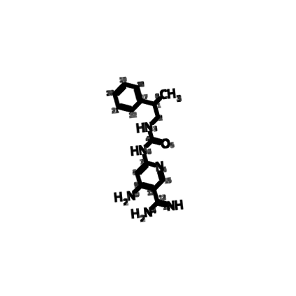 CC(CNC(=O)Nc1cc(N)c(C(=N)N)cn1)c1ccccc1